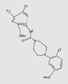 CCc1cc(NC(=O)N2CCN(c3cc(OC)ccc3Cl)CC2)c(OC)nc1C